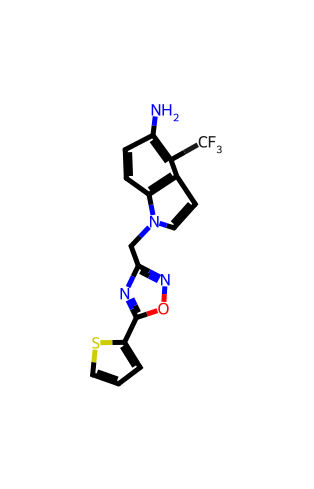 Nc1ccc2c(ccn2Cc2noc(-c3cccs3)n2)c1C(F)(F)F